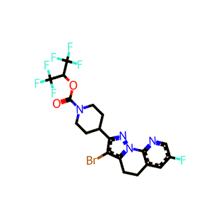 O=C(OC(C(F)(F)F)C(F)(F)F)N1CCC(c2nn3c(c2Br)CCc2cc(F)cnc2-3)CC1